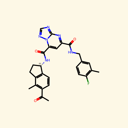 CC(=O)c1ccc2c(c1C)CC[C@@H]2NC(=O)c1cc(C(=O)NCc2ccc(F)c(C)c2)nc2ncnn12